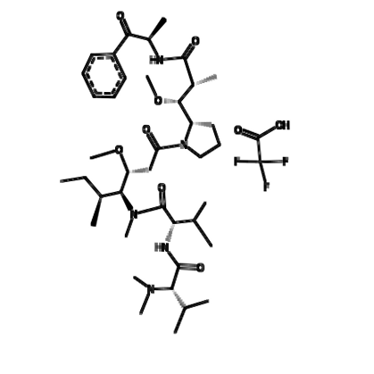 CC[C@H](C)[C@@H]([C@@H](CC(=O)N1CCC[C@H]1[C@H](OC)[C@@H](C)C(=O)N[C@H](C)C(=O)c1ccccc1)OC)N(C)C(=O)[C@@H](NC(=O)[C@H](C(C)C)N(C)C)C(C)C.O=C(O)C(F)(F)F